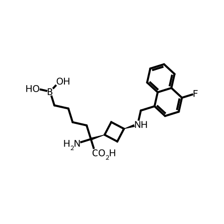 NC(CCCCB(O)O)(C(=O)O)[C@H]1C[C@@H](NCc2ccc(F)c3ccccc23)C1